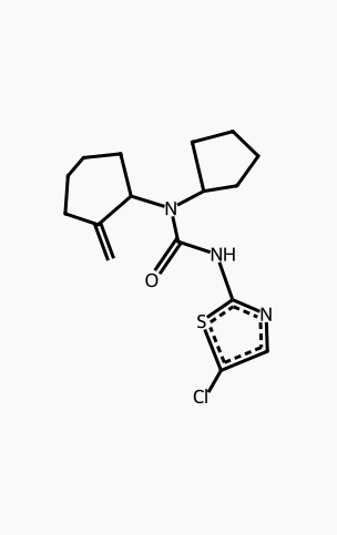 C=C1CCCCC1N(C(=O)Nc1ncc(Cl)s1)C1CCCC1